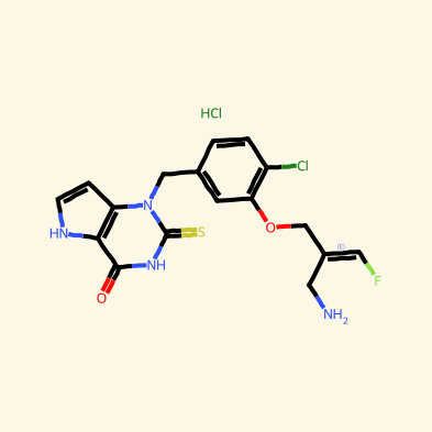 Cl.NC/C(=C\F)COc1cc(Cn2c(=S)[nH]c(=O)c3[nH]ccc32)ccc1Cl